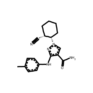 Cc1ccc(Nc2nn([C@H]3CCCC[C@H]3C#N)cc2C(N)=O)cc1